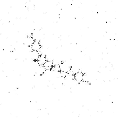 O=C(NCC1=CN(c2ccc(C(F)(F)F)cc2)NC=C1C(F)F)C1CCC1Sc1ccc(F)cc1